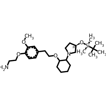 COc1cc(CCOC2CCCCC2N2CC[C@@H](O[Si](C)(C)C(C)(C)C)C2)ccc1OCCN